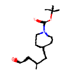 CC(CC=O)CC1CCN(C(=O)OC(C)(C)C)CC1